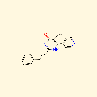 CCc1c(-c2ccncc2)[nH]c(CCCc2ccccc2)nc1=O